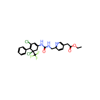 CCOC(=O)Cc1ccc(CNC(=O)NC2=CC(Cl)=C(c3ccccc3)C(Cl)(C(F)(F)F)C2)nc1